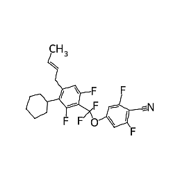 C/C=C/Cc1cc(F)c(C(F)(F)Oc2cc(F)c(C#N)c(F)c2)c(F)c1C1CCCCC1